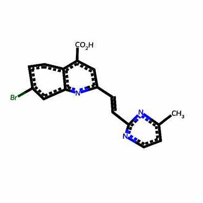 Cc1ccnc(C=Cc2cc(C(=O)O)c3ccc(Br)cc3n2)n1